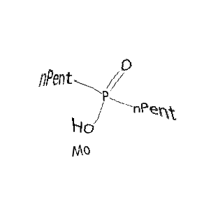 CCCCCP(=O)(O)CCCCC.[Mo]